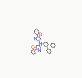 c1ccc(-c2ccc(N(c3cnc4c(c3)oc3ccccc34)c3cnc4c(c3)oc3ccccc34)cc2-c2ccccc2)cc1